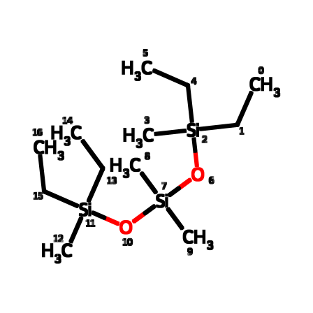 CC[Si](C)(CC)O[Si](C)(C)O[Si](C)(CC)CC